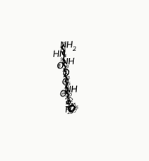 NCCNCCNC(=O)CCOCCOCCNC(=O)CCSSc1ccccn1